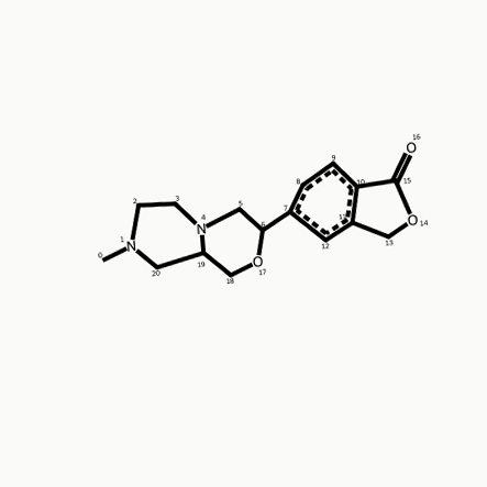 CN1CCN2CC(c3ccc4c(c3)COC4=O)OCC2C1